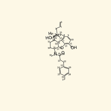 C=CCN1CC[C@]23c4c5ccc(O)c4OC2C(N(C)C(=O)CCc2ccc(C)cc2)CC[C@@]3(O)[C@H]1C5